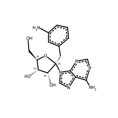 Nc1cccc(C[C@@]2(n3cnc4c(N)ncnc43)O[C@H](CO)[C@@H](O)[C@H]2O)c1